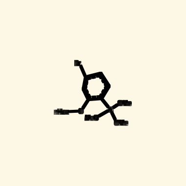 CCCCCCOc1cc(Br)ccc1[Si](OC)(OC)OC